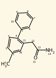 Cc1ccc(-c2ccccc2)c(CC(N)=O)c1